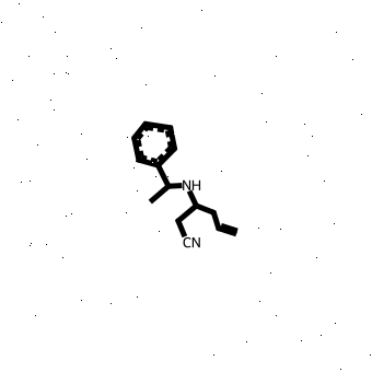 C=CCC(CC#N)NC(C)c1ccccc1